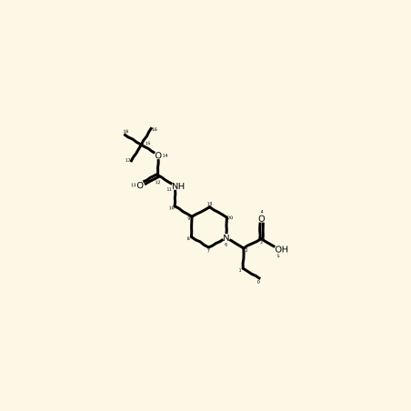 CCC(C(=O)O)N1CCC(CNC(=O)OC(C)(C)C)CC1